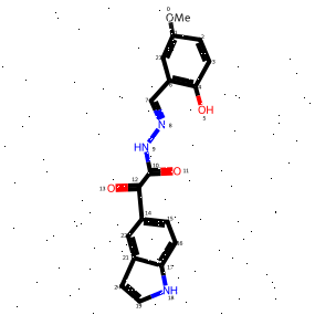 COc1ccc(O)c(C=NNC(=O)C(=O)c2ccc3[nH]ccc3c2)c1